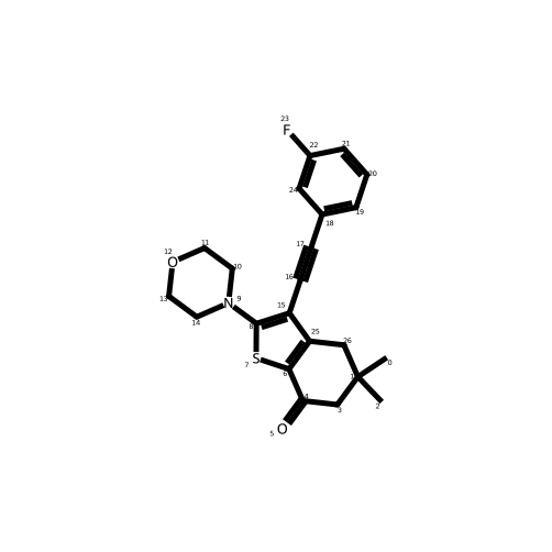 CC1(C)CC(=O)c2sc(N3CCOCC3)c(C#Cc3cccc(F)c3)c2C1